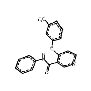 O=C(Nc1ccccc1)c1cnccc1Oc1cccc(C(F)(F)F)c1